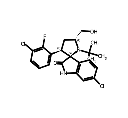 CC(C)(C)N1[C@@H](CO)C[C@H](c2cccc(Cl)c2F)[C@]12C(=O)Nc1cc(Cl)ccc12